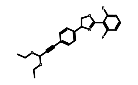 CCOC(C#Cc1ccc(C2COC(c3c(F)cccc3F)=N2)cc1)OCC